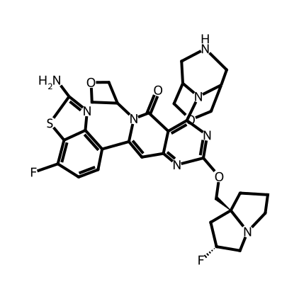 Nc1nc2c(-c3cc4nc(OC[C@@]56CCCN5C[C@H](F)C6)nc(N5C6CNCC5COC6)c4c(=O)n3C3COC3)ccc(F)c2s1